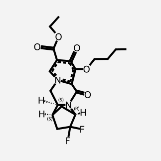 CCCCOc1c2n(cc(C(=O)OCC)c1=O)C[C@@H]1[C@H]3C[C@@H](N1C2=O)C(F)(F)C3